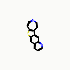 C1=Cc2sc3cc4cccnc4cc3c2C=CN=1